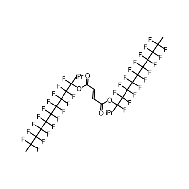 CC(C)C(F)(OC(=O)/C=C/C(=O)OC(F)(C(C)C)C(F)(F)C(F)(F)C(F)(F)C(F)(F)C(F)(F)C(F)(F)C(F)(F)C(C)(F)F)C(F)(F)C(F)(F)C(F)(F)C(F)(F)C(F)(F)C(F)(F)C(F)(F)C(C)(F)F